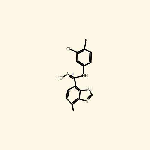 Cc1ccc(/C(=N\O)Nc2ccc(F)c(Cl)c2)c2[nH]cnc12